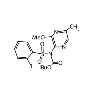 COc1nc(C)cnc1N(C(=O)OCC(C)C)S(=O)(=O)c1ccccc1I